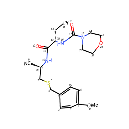 COc1ccc(CSC[C@@H](C#N)NC(=O)[C@H](CC(C)C)NC(=O)N2CCOCC2)cc1